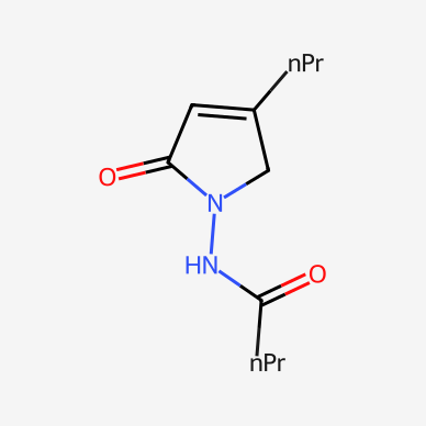 CCCC(=O)NN1CC(CCC)=CC1=O